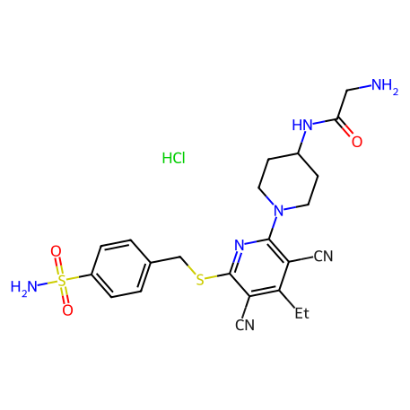 CCc1c(C#N)c(SCc2ccc(S(N)(=O)=O)cc2)nc(N2CCC(NC(=O)CN)CC2)c1C#N.Cl